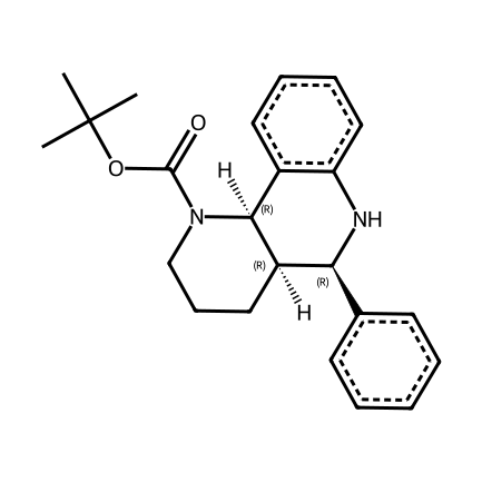 CC(C)(C)OC(=O)N1CCC[C@@H]2[C@H](c3ccccc3)Nc3ccccc3[C@@H]21